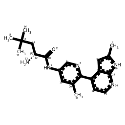 Cc1cc2c(-c3ncc(NC(=O)[C@H](N)CC(C)(C)C)cc3C)ccnc2[nH]1